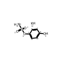 NS(=O)(=O)Oc1ccc(O)cc1.[KH]